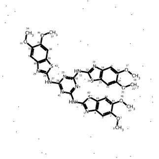 COc1cc2nc(Nc3nc(Nc4nc5cc(OC)c(OC)cc5s4)nc(Nc4nc5cc(OC)c(OC)cc5s4)n3)sc2cc1OC